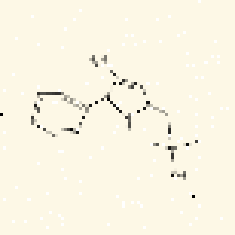 CC(C)(O)CC1C=C(N)N(c2ccccc2)N1